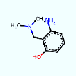 CN(C)Cc1c(N)cccc1O